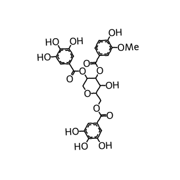 COc1cc(C(=O)OC2C(OC(=O)c3cc(O)c(O)c(O)c3)COC(COC(=O)c3cc(O)c(O)c(O)c3)C2O)ccc1O